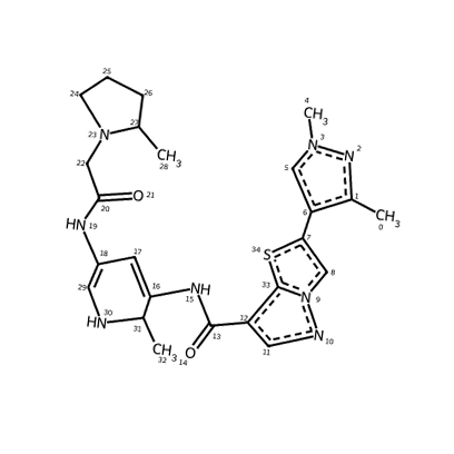 Cc1nn(C)cc1-c1cn2ncc(C(=O)NC3=CC(NC(=O)CN4CCCC4C)=CNC3C)c2s1